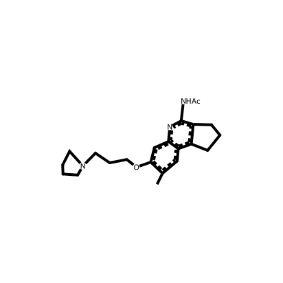 CC(=O)Nc1nc2cc(OCCCN3CCCC3)c(C)cc2c2c1CCC2